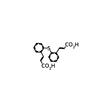 O=C(O)C=Cc1ccccc1Sc1ccccc1C=CC(=O)O